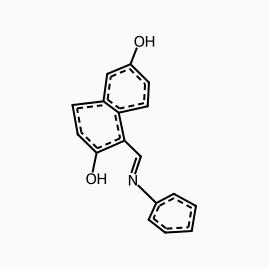 Oc1ccc2c(C=Nc3ccccc3)c(O)ccc2c1